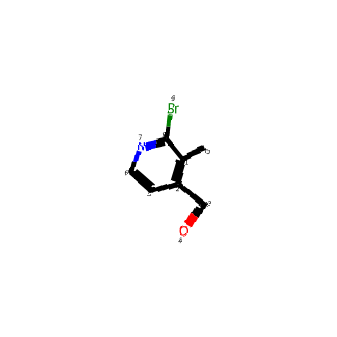 Cc1c(C=O)ccnc1Br